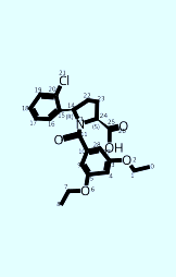 CCOc1cc(OCC)cc(C(=O)N2[C@@H](c3ccccc3Cl)CC[C@H]2C(=O)O)c1